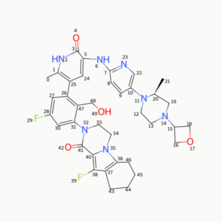 Cc1[nH]c(=O)c(Nc2ccc(N3CCN(C4COC4)C[C@@H]3C)cn2)cc1-c1cc(F)cc(N2CCn3c4c(c(F)c3C2=O)CCCC4)c1CO